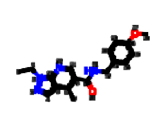 CCn1ncc2c(C)c(C(=O)NCc3ccc(OC)cc3)cnc21